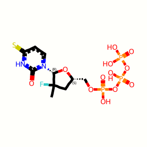 CC1(F)C[C@@H](COP(=O)(O)OP(=O)(O)OP(=O)(O)O)O[C@H]1n1ccc(=S)[nH]c1=O